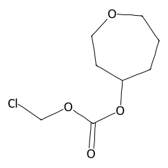 O=C(OCCl)OC1CCCOCC1